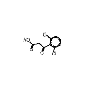 O=C(O)CC(=O)c1c(Cl)cccc1Cl